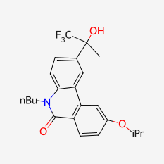 CCCCn1c(=O)c2ccc(OC(C)C)cc2c2cc(C(C)(O)C(F)(F)F)ccc21